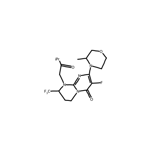 CC(C)C(=O)CN1c2nc(N3CCOCC3C)c(F)c(=O)n2CCC1C(F)(F)F